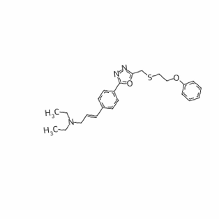 CCN(CC)CC=Cc1ccc(-c2nnc(CSCCOc3ccccc3)o2)cc1